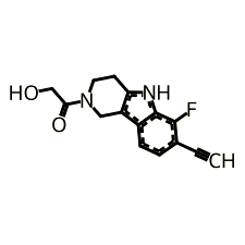 C#Cc1ccc2c3c([nH]c2c1F)CCN(C(=O)CO)C3